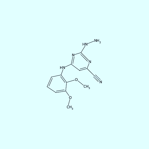 COc1cccc(Nc2cc(C#N)nc(NN)n2)c1OC